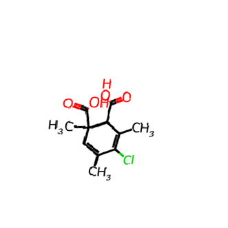 CC1=CC(C)(C(=O)O)C(C(=O)O)C(C)=C1Cl